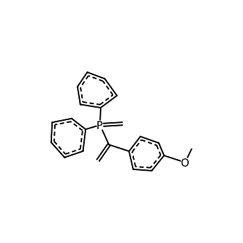 C=C(c1ccc(OC)cc1)P(=C)(c1ccccc1)c1ccccc1